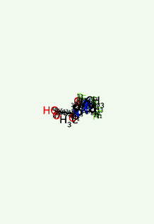 CC[C@@H]1C[C@H](N(Cc2cc(C(F)(F)F)cc(C(F)(F)F)c2)c2nnn(C)n2)c2cc(OC(F)(F)F)ccc2N1C(=O)CCCCCC(=O)O